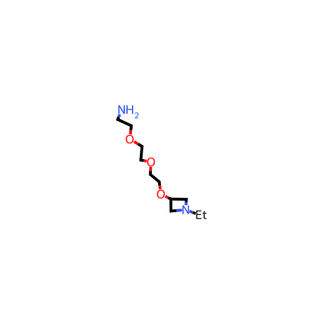 CCN1CC(OCCOCCOCCN)C1